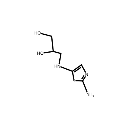 Nc1ncc(NCC(O)CO)s1